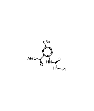 CCCCc1ccc(NC(=O)NC(C)C)c(C(=O)OC)c1